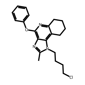 Cc1nc2c(Oc3ccccc3)nc3c(c2n1CCCCCl)CCCC3